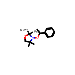 CCCCCC1(CCCCC)OCC(C)(C)N1OC(C)c1ccccc1